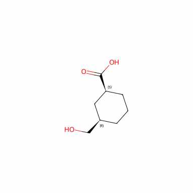 O=C(O)[C@H]1CCC[C@@H](CO)C1